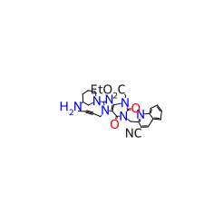 CC#CCn1c(N2CCCC(N)C2)nc2c1c(=O)n(Cc1nc3ccccc3cc1C#N)c(=O)n2CC(=O)OCC